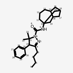 CCCCC1=NN(C(=O)NC23CCCC4CC(CC4C2)C3)C(C)(C)C1c1ccccc1